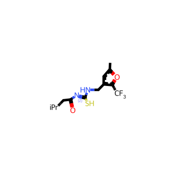 Cc1cc(CN/C(S)=N/C(=O)CC(C)C)c(C(F)(F)F)o1